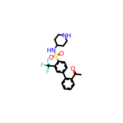 CC(=O)c1ccccc1-c1ccc(S(=O)(=O)NC2CCNCC2)c(C(F)(F)F)c1